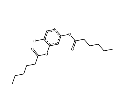 CCCCCC(=O)Oc1cc(OC(=O)CCCCC)c(Cl)cn1